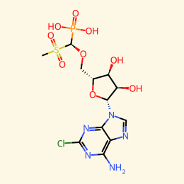 CS(=O)(=O)[C@H](OC[C@H]1O[C@@H](n2cnc3c(N)nc(Cl)nc32)[C@H](O)[C@@H]1O)P(=O)(O)O